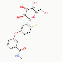 CNC(=O)c1cccc(Oc2ccc(F)c([C@H]3O[C@H](CO)[C@@H](O)[C@H](O)[C@@H]3O)c2)c1